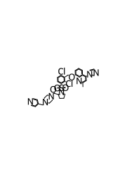 Cc1cc(-n2ccnc2)c2cccc(OCc3c(Cl)ccc(S(=O)(=O)N4CCCC4C(=O)N4CCN(Cc5ccncc5)CC4)c3Cl)c2n1